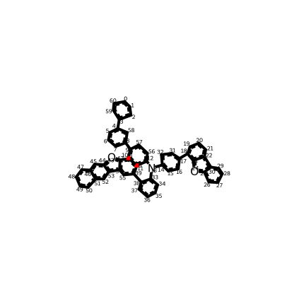 c1ccc(-c2cccc(-c3ccc(N(c4ccc(-c5cccc6c5oc5ccccc56)cc4)c4ccccc4-c4ccc5oc6cc7ccccc7cc6c5c4)cc3)c2)cc1